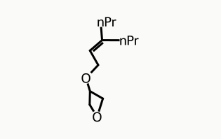 CCCC(=CCOC1COC1)CCC